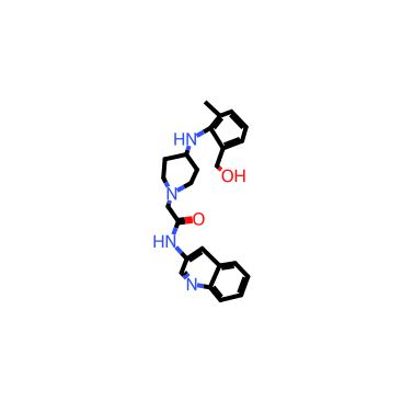 Cc1cccc(CO)c1NC1CCN(CC(=O)Nc2cnc3ccccc3c2)CC1